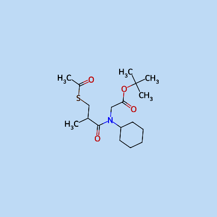 CC(=O)SCC(C)C(=O)N(CC(=O)OC(C)(C)C)C1CCCCC1